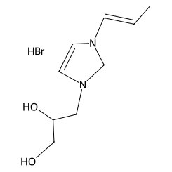 Br.CC=CN1C=CN(CC(O)CO)C1